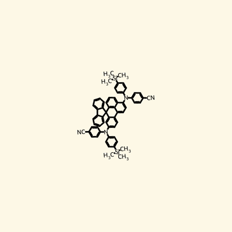 C[Si](C)(C)c1ccc(N(c2ccc(C#N)cc2)c2ccc3c(c2)C2(c4ccccc4-c4ccccc42)c2cccc4c(N(c5ccc(C#N)cc5)c5ccc([Si](C)(C)C)cc5)ccc-3c24)cc1